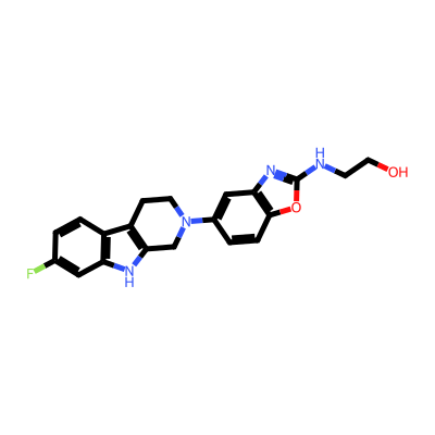 OCCNc1nc2cc(N3CCc4c([nH]c5cc(F)ccc45)C3)ccc2o1